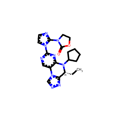 CC[C@@H]1c2nncn2-c2cnc(-n3ccnc3N3CCOC3=O)nc2N1C1CCCC1